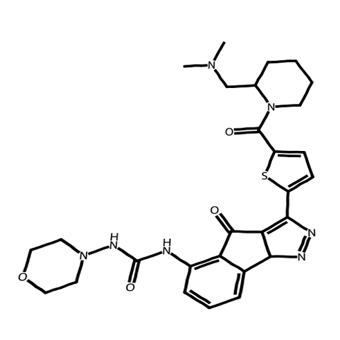 CN(C)CC1CCCCN1C(=O)c1ccc(C2=C3C(=O)c4c(NC(=O)NN5CCOCC5)cccc4C3N=N2)s1